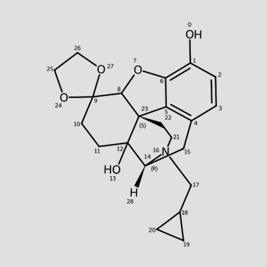 Oc1ccc2c3c1OC1C4(CCC5(O)[C@@H](C2)N(CC2CC2)CC[C@]315)OCCO4